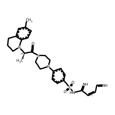 Cc1ccc2c(c1)CCCN2[C@H](C)C(=O)N1CCN(c2ccc(S(=O)(=O)NC(=N)/C=C\C=N)cc2)CC1